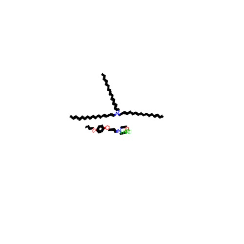 CCCCCCCCCCCCCCCCN(CCCCCCCCCCCCCCCC)CCCCCCCCCCCCCCCC.CCCCOc1ccc(OCCCN2CCOCC2)cc1.Cl.Cl